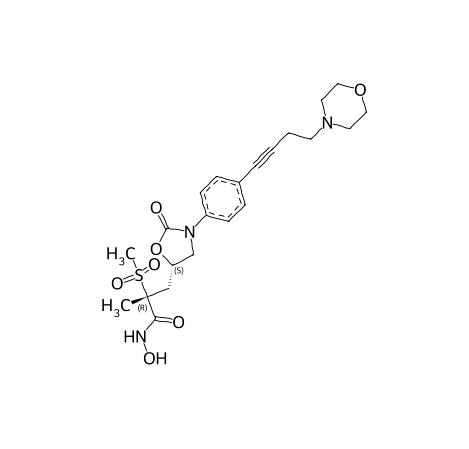 C[C@@](C[C@H]1CN(c2ccc(C#CCCN3CCOCC3)cc2)C(=O)O1)(C(=O)NO)S(C)(=O)=O